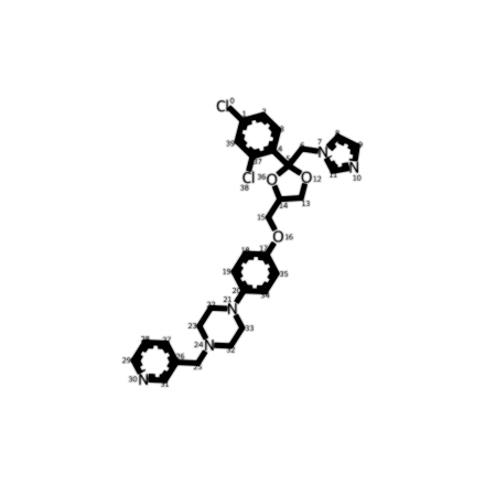 Clc1ccc(C2(Cn3ccnc3)OCC(COc3ccc(N4CCN(Cc5cccnc5)CC4)cc3)O2)c(Cl)c1